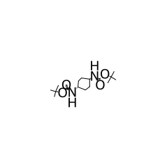 CC(C)(C)OC(=O)N[C@H]1CC[C@H](NC(=O)OC(C)(C)C)CC1